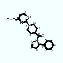 O=Cc1ccnc(N2CCC(C(=O)N3N=CCC3c3ccccc3)CC2)n1